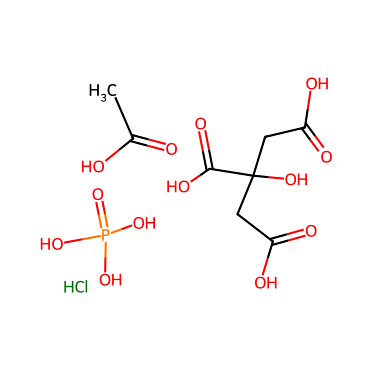 CC(=O)O.Cl.O=C(O)CC(O)(CC(=O)O)C(=O)O.O=P(O)(O)O